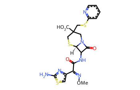 CON=C(C(=O)NC1C(=O)N2CC(CSc3ccccn3)(C(=O)O)CS[C@H]12)c1csc(N)n1